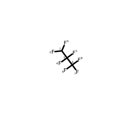 F[C](F)C(F)(F)C(F)(F)F